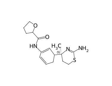 C[C@@]1(C2C=C(NC(=O)C3CCCO3)C=CC2)CCSC(N)=N1